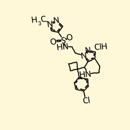 Cl.Cn1cc(S(=O)(=O)NCCn2ncc3c2C(C2(c4ccc(Cl)cc4)CCC2)NCC3)cn1